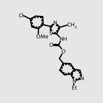 CCn1ncc2cc(COC(=O)Nc3sc(-c4ccc(Cl)cc4OC)nc3C)ccc21